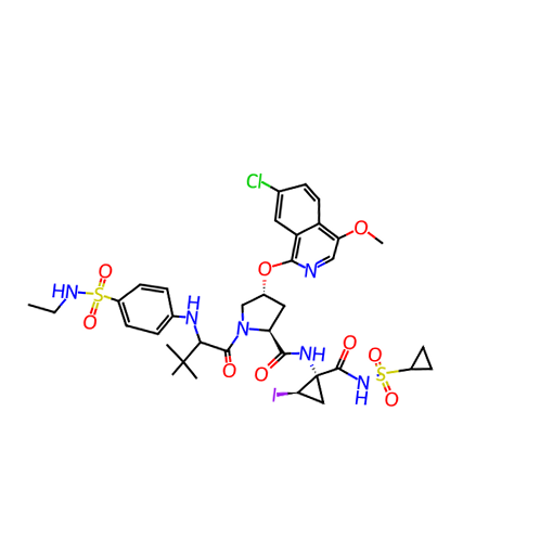 CCNS(=O)(=O)c1ccc(NC(C(=O)N2C[C@H](Oc3ncc(OC)c4ccc(Cl)cc34)C[C@H]2C(=O)N[C@]2(C(=O)NS(=O)(=O)C3CC3)C[C@H]2I)C(C)(C)C)cc1